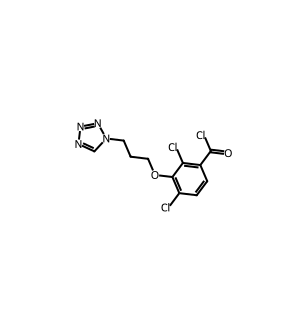 O=C(Cl)c1ccc(Cl)c(OCCCn2cnnn2)c1Cl